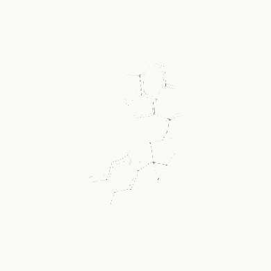 Cc1c[nH]c(=O)c2c(C(=O)N3CC4CC4(c4ccc(Cl)c(Cl)c4)C3)c[nH]c12